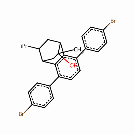 CC(C)C1CC2c3c(-c4ccc(Br)cc4)ccc(-c4ccc(Br)cc4)c3C1CC2(C)O